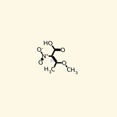 CO/C(C)=C(\C(=O)O)[N+](=O)[O-]